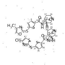 Cc1coc(Sc2ccc(C(=O)N[C@H]3CN4CCC3CC4)s2)n1.O=C(N[C@H]1CN2CCC1CC2)c1ccc(Sc2nc(Cl)cs2)s1